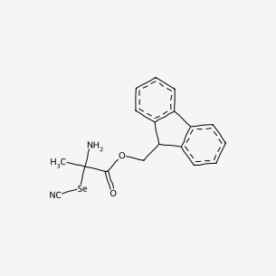 CC(N)([Se]C#N)C(=O)OCC1c2ccccc2-c2ccccc21